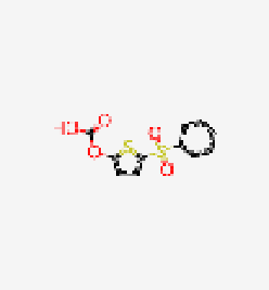 O=C(O)Oc1ccc(S(=O)(=O)c2ccccc2)s1